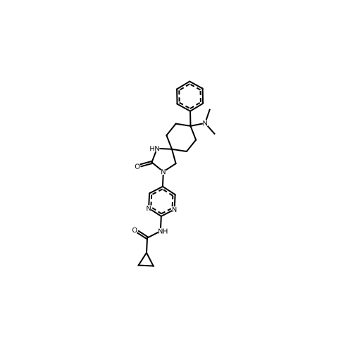 CN(C)C1(c2ccccc2)CCC2(CC1)CN(c1cnc(NC(=O)C3CC3)nc1)C(=O)N2